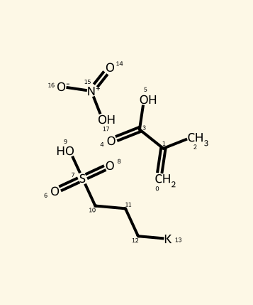 C=C(C)C(=O)O.O=S(=O)(O)CC[CH2][K].O=[N+]([O-])O